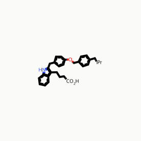 CC(C)Cc1ccc(COc2ccc(Cc3[nH]c4ccccc4c3CCCC(=O)O)cc2)cc1